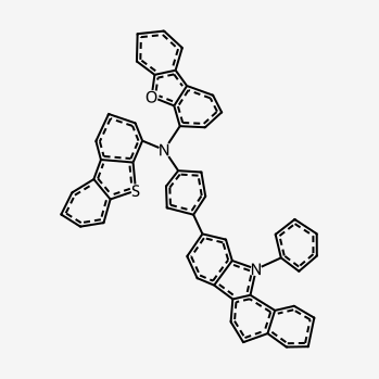 c1ccc(-n2c3cc(-c4ccc(N(c5cccc6c5oc5ccccc56)c5cccc6c5sc5ccccc56)cc4)ccc3c3ccc4ccccc4c32)cc1